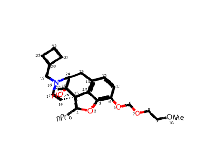 CCCC1Oc2c(OCOCCOC)ccc3c2[C@@]12CCN(CC1CCC1)C(C3)C2(C)O